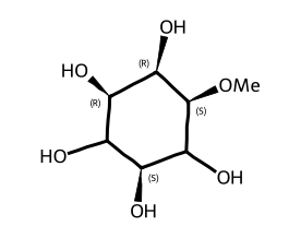 CO[C@H]1C(O)[C@@H](O)C(O)[C@@H](O)[C@H]1O